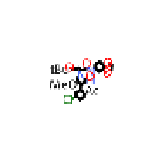 COc1cn(C(CCOC(C)(C)C)C(=O)Nc2ccc3c(c2)OCCO3)c(=O)cc1-c1cc(Cl)ccc1C(C)=O